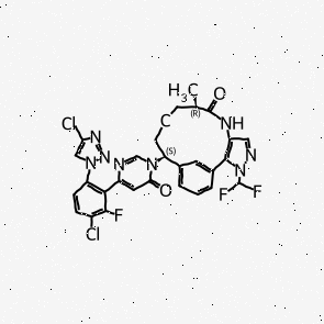 C[C@@H]1CCC[C@H](n2cnc(-c3c(-n4cc(Cl)nn4)ccc(Cl)c3F)cc2=O)c2cccc(c2)-c2c(cnn2C(F)F)NC1=O